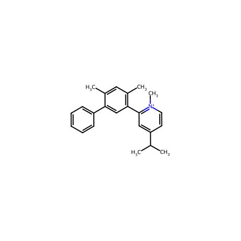 Cc1cc(C)c(-c2cc(C(C)C)cc[n+]2C)cc1-c1ccccc1